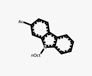 CCCCCCCCn1c2ccccc2c2ccc(C(C)=O)cc21